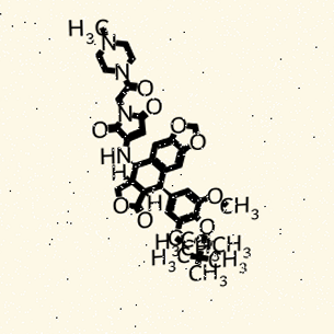 COc1cc([C@@H]2c3cc4c(cc3[C@@H](NC3=CC(=O)N(CC(=O)N5CCN(C)CC5)C3=O)[C@H]3COC(=O)[C@H]23)OCO4)cc(OC)c1O[Si](C)(C)C(C)(C)C